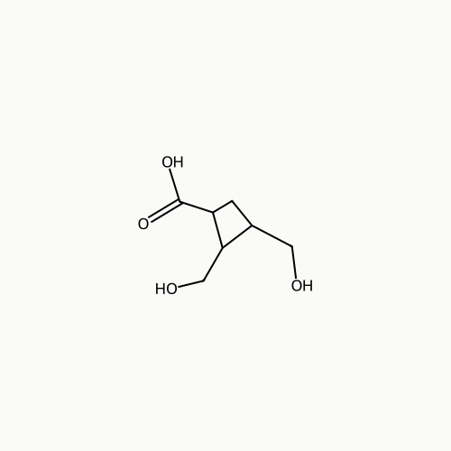 O=C(O)C1CC(CO)C1CO